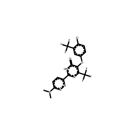 CN(C)c1ccc(-c2nc(C(F)(F)F)c(Oc3ccc(Cl)c(C(F)(F)F)c3)c(=O)[nH]2)nn1